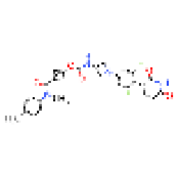 Cc1ccc(N(C)C(=O)C23CC(OC(=O)NC4CN(c5cc(F)c(C6CCC(=O)NC6=O)c(F)c5)C4)(C2)C3)cc1